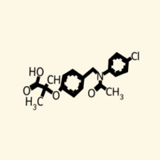 CC(=O)N(Cc1ccc(OC(C)(C)C(=O)O)cc1)c1ccc(Cl)cc1